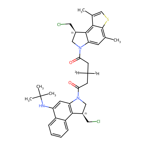 [2H]C([2H])(CC(=O)N1C[C@@H](CCl)c2c1cc(NC(C)(C)C)c1ccccc21)CC(=O)N1C[C@@H](CCl)c2c1cc(C)c1scc(C)c21